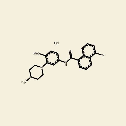 COc1ccc(NC(=O)c2cccc3c(Br)cccc23)cc1N1CCN(C)CC1.Cl